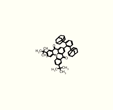 CC(C)(C)c1ccc2c(c1)c(=O)c1cc(-c3c(C45CC6CC(CC(C6)C4)C5)cccc3C34CC5CC(CC(C5)C3)C4)cc3c(=O)c4cc(C(C)(C)C)ccc4n2c13